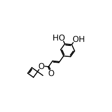 CC1(OC(=O)/C=C/c2ccc(O)c(O)c2)C=CC1